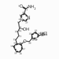 Cl.NC(=O)c1cn(C[C@@H](O)CCCc2ccccc2OCc2ccc(Br)s2)cn1